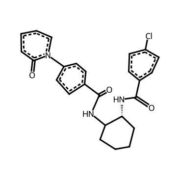 O=C(NC1CCCC[C@H]1NC(=O)c1ccc(Cl)cc1)c1ccc(-n2ccccc2=O)cc1